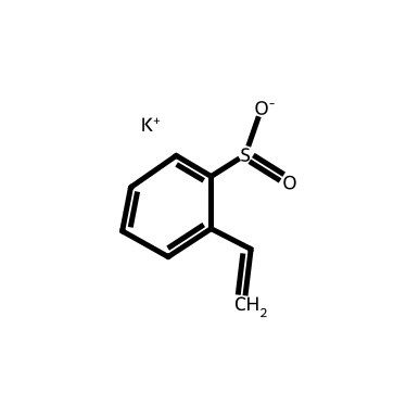 C=Cc1ccccc1S(=O)[O-].[K+]